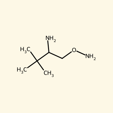 CC(C)(C)C(N)CON